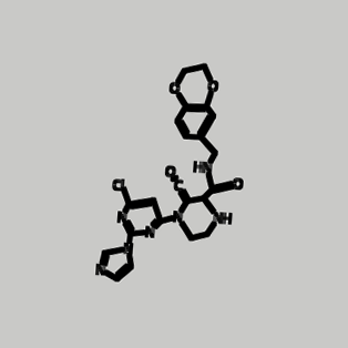 O=C=C1C(C(=O)NCc2ccc3c(c2)OCCO3)NCCN1c1cc(Cl)nc(-n2ccnc2)n1